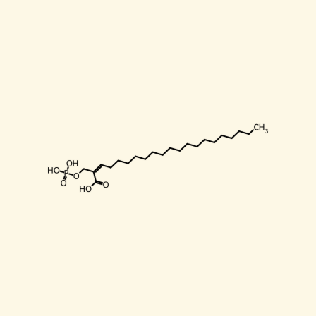 CCCCCCCCCCCCCCCCCCC=C(COP(=O)(O)O)C(=O)O